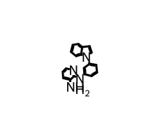 Nc1cccnc1Nc1cccc(-n2ccc3ccccc32)c1